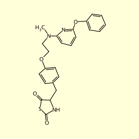 CN(CCOc1ccc(CC2NC(=O)SC2=O)cc1)c1cccc(Oc2ccccc2)n1